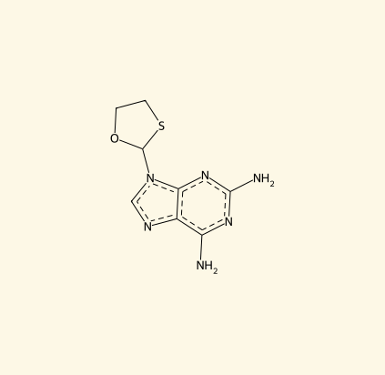 Nc1nc(N)c2ncn(C3OCCS3)c2n1